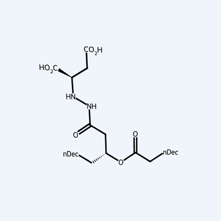 CCCCCCCCCCCC(=O)O[C@H](CCCCCCCCCCC)CC(=O)NN[C@H](CC(=O)O)C(=O)O